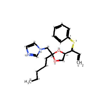 C=CC(Sc1ccccc1)C1COC(CCCCC)(Cn2ccnc2)O1